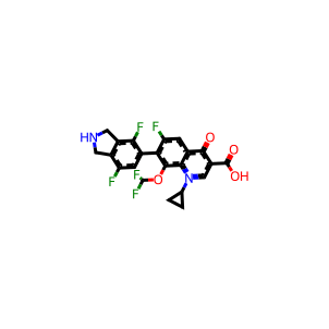 O=C(O)c1cn(C2CC2)c2c(OC(F)F)c(-c3cc(F)c4c(c3F)CNC4)c(F)cc2c1=O